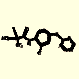 CC(O)(C(=O)Nc1ccc(Sc2ncccn2)cc1Cl)C(F)(F)F